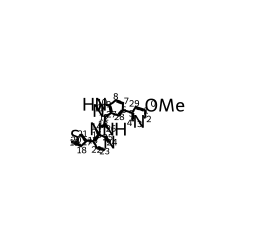 COc1cncc(-c2ccc3[nH]nc(-c4nc5c(-c6ccsc6)ccnc5[nH]4)c3c2)c1